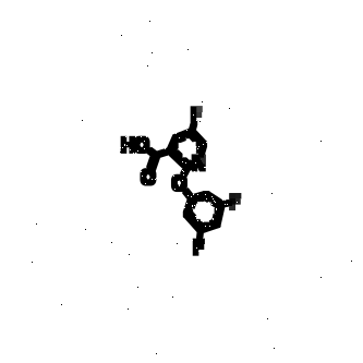 O=C(O)c1cc(F)cnc1Oc1cc(F)cc(F)c1